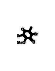 COC1=C(Br)C(=O)C(C)=C(Br)C1=O